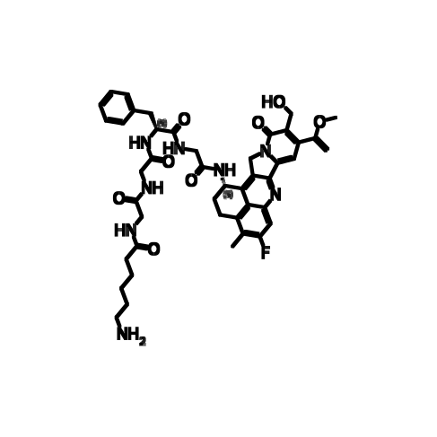 C=C(OC)c1cc2n(c(=O)c1CO)Cc1c-2nc2cc(F)c(C)c3c2c1[C@@H](NC(=O)CNC(=O)[C@H](Cc1ccccc1)NC(=O)CNC(=O)CNC(=O)CCCCCN)CC3